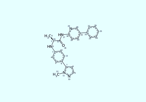 C[C@H](Nc1ccc(-c2ccnn2C)cc1)C(=O)Nc1ccc(-c2ccccc2)cn1